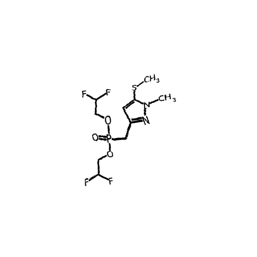 CSc1cc(CP(=O)(OCC(F)F)OCC(F)F)nn1C